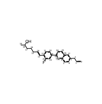 C=CCc1ccc2nc(-c3ccc(C=CCCCC(C)O)c(F)c3)ccc2c1